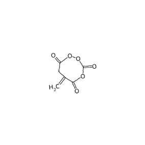 C=C1CC(=O)OOC(=O)OC1=O